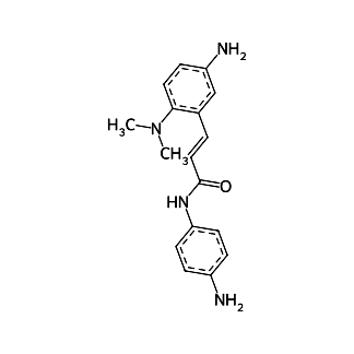 CN(C)c1ccc(N)cc1C=CC(=O)Nc1ccc(N)cc1